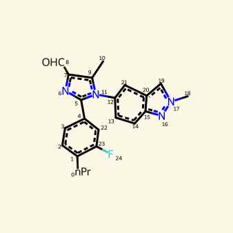 CCCc1ccc(-c2nc(C=O)c(C)n2-c2ccc3nn(C)cc3c2)cc1F